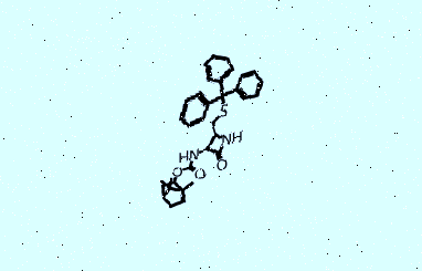 CC1(C)C2CCC1(C)C(OC(=O)N[C@@H]1C(=O)N[C@@H]1CSC(c1ccccc1)(c1ccccc1)c1ccccc1)C2